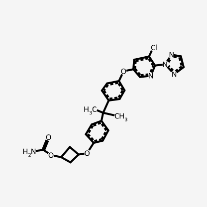 CC(C)(c1ccc(Oc2cnc(-n3nccn3)c(Cl)c2)cc1)c1ccc(OC2CC(OC(N)=O)C2)cc1